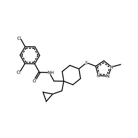 Cn1cc(SC2CCC(CNC(=O)c3ccc(Cl)cc3Cl)(CC3CC3)CC2)nn1